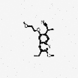 CCc1cc2cc(OCCOC)c(C(C)C#N)cc2nc1OC